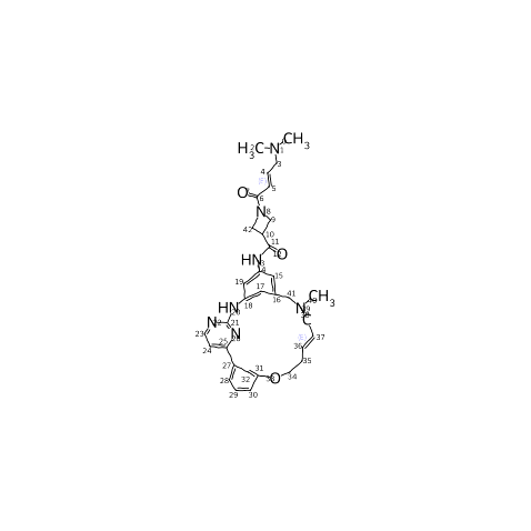 CN(C)C/C=C/C(=O)N1CC(C(=O)Nc2cc3cc(c2)Nc2nccc(n2)-c2cccc(c2)OCC/C=C/CN(C)C3)C1